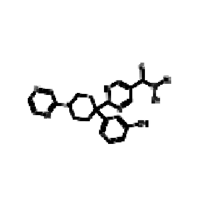 CCN(CC)C(=O)c1cnc(C2(c3cccc(O)c3)CCN(c3cnccn3)CC2)nc1